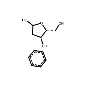 OC[C@H]1OC(O)C[C@@H]1O.c1ccccc1